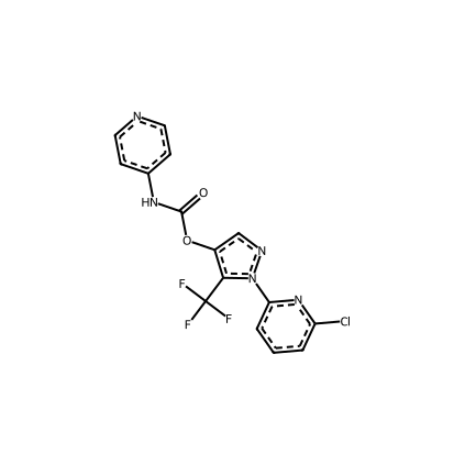 O=C(Nc1ccncc1)Oc1cnn(-c2cccc(Cl)n2)c1C(F)(F)F